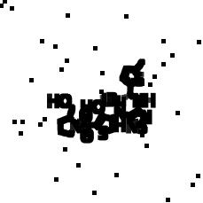 Cc1ccc([C@H](Nc2nsnc2NC2CSC(S(=O)(=O)N3CCCC3CO)=C2O)C(C)(C)C)s1